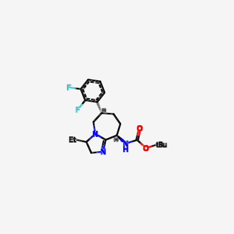 CCC1CN=C2[C@H](NC(=O)OC(C)(C)C)CC[C@@H](c3cccc(F)c3F)CN21